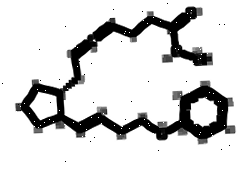 O=C(CCC=C=CC[C@H]1CCC[C@@H]1/C=C/CCOc1ccccc1)OO